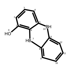 Oc1cccc2c1Bc1ccccc1B2